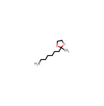 CC1(CCCCCCN)OCCO1